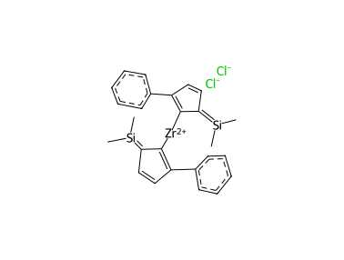 C[Si](C)=C1C=CC(c2ccccc2)=[C]1[Zr+2][C]1=C(c2ccccc2)C=CC1=[Si](C)C.[Cl-].[Cl-]